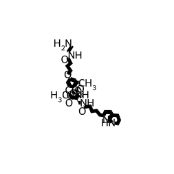 COC(=O)[C@@H](CNC(=O)CCCCc1ccc2c(n1)NCCC2)NS(=O)(=O)c1c(C)cc(OCCCC(=O)NCCN)cc1C